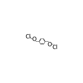 ClCOCc1ccc(COCCl)cc1